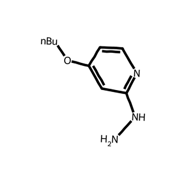 CCCCOc1ccnc(NN)c1